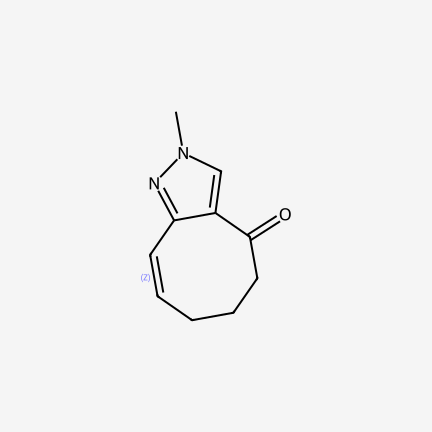 Cn1cc2c(n1)/C=C\CCCC2=O